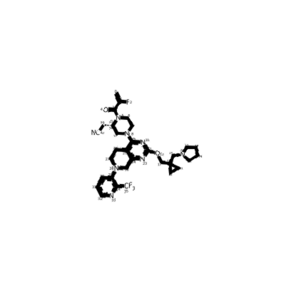 C=C(F)C(=O)N1CCN(c2nc(OCC3(CN4CCCC4)CC3)nc3c2CCN(c2cccnc2C(F)(F)F)C3)C[C@@H]1CC#N